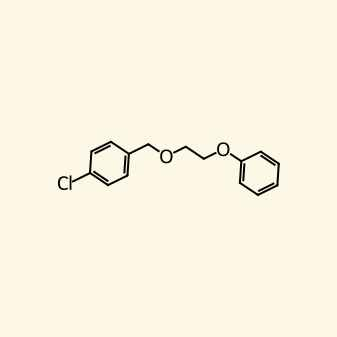 Clc1ccc(COCCOc2ccccc2)cc1